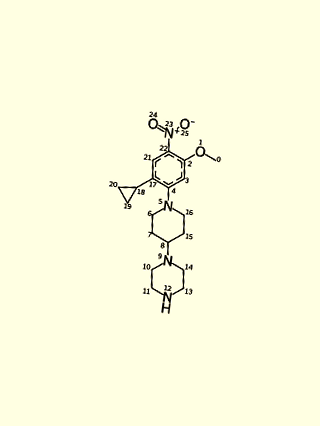 COc1cc(N2CCC(N3CCNCC3)CC2)c(C2CC2)cc1[N+](=O)[O-]